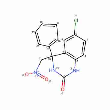 O=C1Nc2ccc(Cl)cc2C(C[N+](=O)[O-])(c2ccccc2)N1